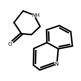 O=C1CCNCC1.c1ccc2ncccc2c1